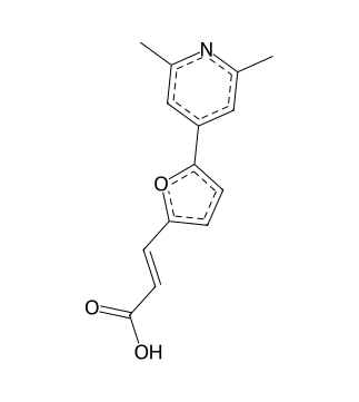 Cc1cc(-c2ccc(/C=C/C(=O)O)o2)cc(C)n1